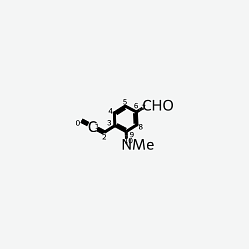 C=C=Cc1ccc(C=O)cc1NC